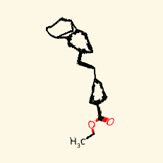 CCOC(=O)c1ccc(/C=C/c2ccc3c(c2)C2CCC3C2)cc1